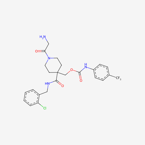 NCC(=O)N1CCC(COC(=O)Nc2ccc(C(F)(F)F)cc2)(C(=O)NCc2ccccc2Cl)CC1